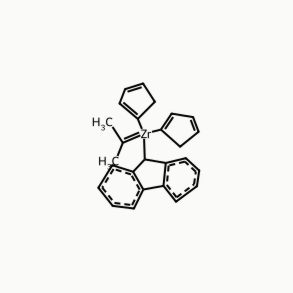 C[C](C)=[Zr]([C]1=CC=CC1)([C]1=CC=CC1)[CH]1c2ccccc2-c2ccccc21